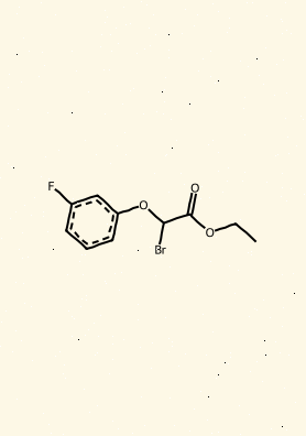 CCOC(=O)C(Br)Oc1cccc(F)c1